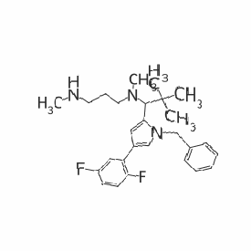 CNCCCN(C)C(c1cc(-c2cc(F)ccc2F)cn1Cc1ccccc1)C(C)(C)C